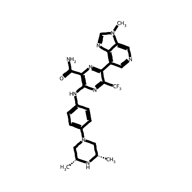 C[C@@H]1CN(c2ccc(Nc3nc(C(F)(F)F)c(-c4cncc5c4ncn5C)nc3C(N)=O)cc2)C[C@H](C)N1